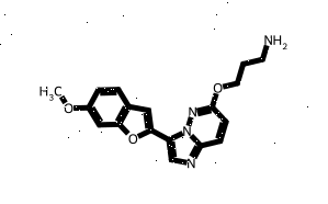 COc1ccc2cc(-c3cnc4ccc(OCCCN)nn34)oc2c1